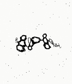 NOc1c2ccccc2c(-c2ccc3oc4c(-c5c6ccccc6c(N=O)c6ccccc56)cccc4c3c2)c2ccccc12